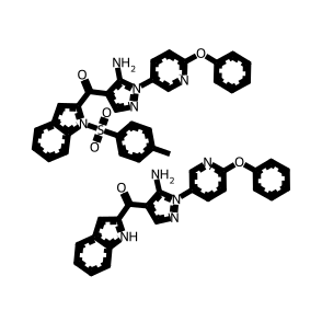 Cc1ccc(S(=O)(=O)n2c(C(=O)c3cnn(-c4ccc(Oc5ccccc5)nc4)c3N)cc3ccccc32)cc1.Nc1c(C(=O)c2cc3ccccc3[nH]2)cnn1-c1ccc(Oc2ccccc2)nc1